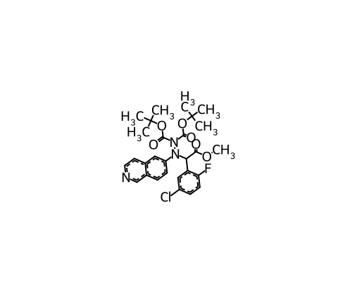 COC(=O)C(c1cc(Cl)ccc1F)N(c1ccc2cnccc2c1)N(C(=O)OC(C)(C)C)C(=O)OC(C)(C)C